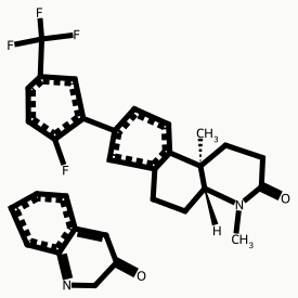 CN1C(=O)CC[C@]2(C)c3ccc(-c4cc(C(F)(F)F)ccc4F)cc3CC[C@@H]12.O=C1C=c2ccccc2=NC1